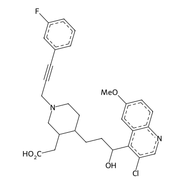 COc1ccc2ncc(Cl)c(C(O)CCC3CCN(CC#Cc4cccc(F)c4)CC3CC(=O)O)c2c1